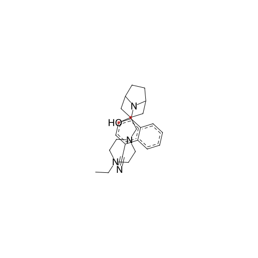 CCN1CCN(CC2(O)CC3CCC(C2)N3c2ccc(C#N)c3ccccc23)CC1